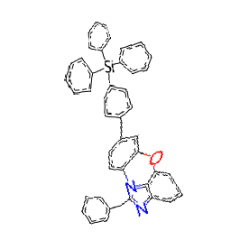 c1ccc(-c2nc3cccc4c3n2-c2ccc(-c3ccc([Si](c5ccccc5)(c5ccccc5)c5ccccc5)cc3)cc2O4)cc1